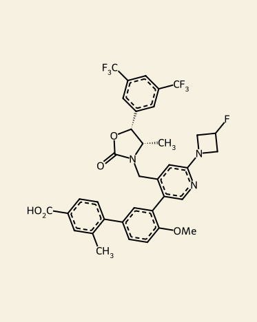 COc1ccc(-c2ccc(C(=O)O)cc2C)cc1-c1cnc(N2CC(F)C2)cc1CN1C(=O)O[C@H](c2cc(C(F)(F)F)cc(C(F)(F)F)c2)[C@@H]1C